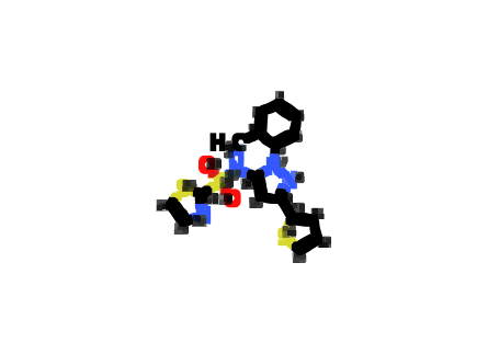 Cc1ccccc1-n1nc(-c2cccs2)cc1NS(=O)(=O)c1nccs1